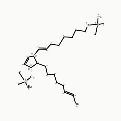 CC(C)(C)[Si](C)(C)OCCCCCCC=C[C@@H]1C=C[C@@H](O[Si](C)(C)C(C)(C)C)C1CCCCCC=CO